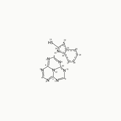 C1=NC2=NC=NC3=NC=NC(=N1)N23.Sc1nc2ccccc2s1